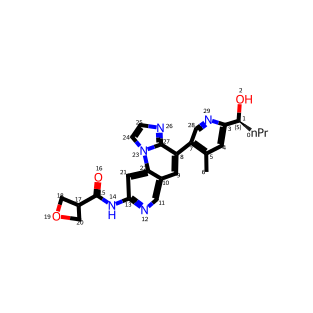 CCC[C@H](O)c1cc(C)c(-c2cc3cnc(NC(=O)C4COC4)cc3n3ccnc23)cn1